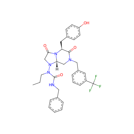 CCCN(C(=O)NCc1ccccc1)N1CC(=O)N2[C@@H](Cc3ccc(O)cc3)C(=O)N(Cc3cccc(C(F)(F)F)c3)C[C@@H]21